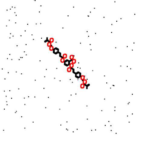 C=C(C)C(=O)OCOc1ccc(C=CC(=O)Oc2ccc(OC(=O)C=Cc3ccc(OCOC(=O)C(=C)C)cc3)c(C(=O)OC)c2)cc1